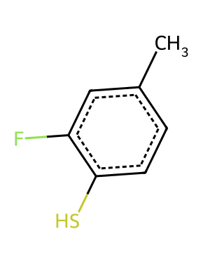 Cc1ccc(S)c(F)c1